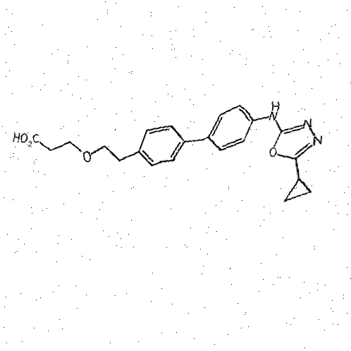 O=C(O)CCOCCc1ccc(-c2ccc(Nc3nnc(C4CC4)o3)cc2)cc1